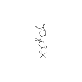 C=C1C(=C)C2CC1CC2S(=O)(=O)CC(=O)OC(C)(C)C